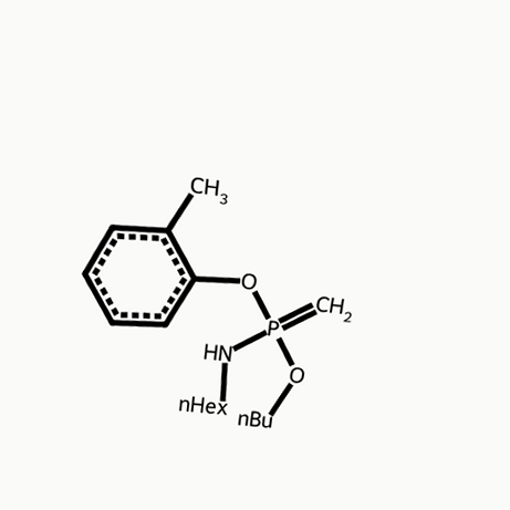 C=P(NCCCCCC)(OCCCC)Oc1ccccc1C